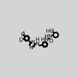 COc1ccc(-c2cncc(NCc3cccc(NC(=O)N[C@@H]4CCCC[C@@H]4O)c3)n2)cc1OC